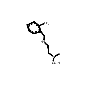 CN(CCNCc1ccccc1C(F)(F)F)C(=O)O